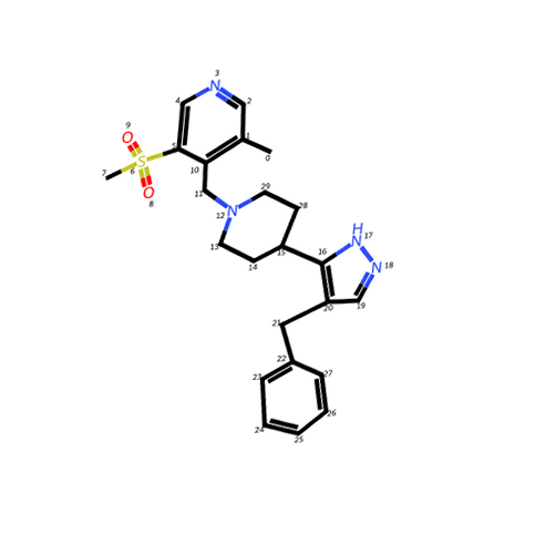 Cc1cncc(S(C)(=O)=O)c1CN1CCC(c2[nH]ncc2Cc2ccccc2)CC1